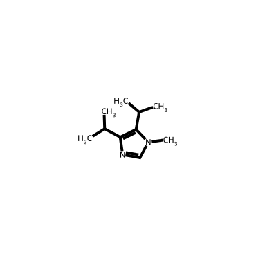 CC(C)c1ncn(C)c1C(C)C